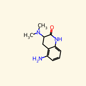 CN(C)C1Cc2c(N)cccc2NC1=O